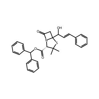 CC1(C)SC2(C(O)C=Cc3ccccc3)CC(=O)N2[C@H]1C(=O)OC(c1ccccc1)c1ccccc1